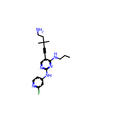 CCCNc1nc(Nc2ccnc(F)c2)ncc1C#CC(C)(C)CCN